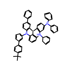 Cc1cccc2c1B(c1ccc(N(c3ccccc3)c3ccccc3)cc1NC1C=CC=CC1)c1cc(-c3ccccc3)ccc1N2c1cccc(-c2ccc(C(C)(C)C)cc2)c1